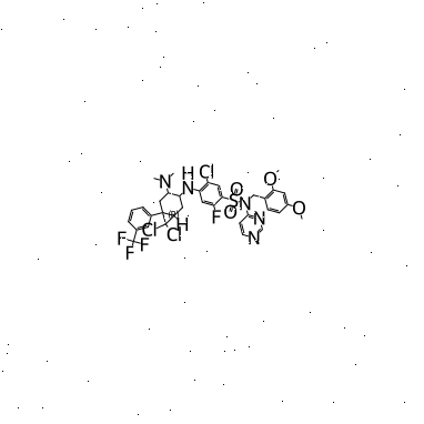 COc1ccc(CN(c2ccncn2)S(=O)(=O)c2cc(Cl)c(NC3C[C@H]4C(Cl)(Cl)C4(c4cccc(C(F)(F)F)c4)CC3N(C)C)cc2F)c(OC)c1